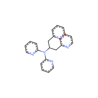 c1ccc(CC(Cc2ccccn2)N(c2ccccn2)c2ccccn2)nc1